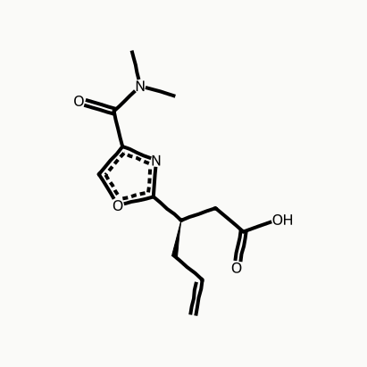 C=CC[C@H](CC(=O)O)c1nc(C(=O)N(C)C)co1